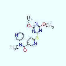 COc1nc(OC)nc(Sc2ccc(C(=O)N(C)c3cccnc3)cn2)n1